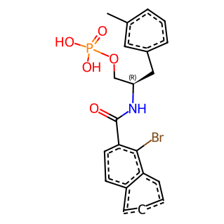 Cc1cccc(C[C@H](COP(=O)(O)O)NC(=O)c2ccc3ccccc3c2Br)c1